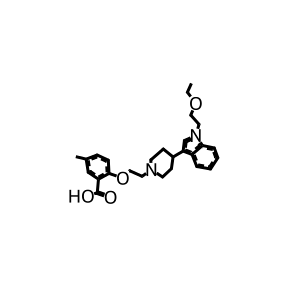 CCOCCn1cc(C2CCN(CCOc3ccc(C)cc3C(=O)O)CC2)c2ccccc21